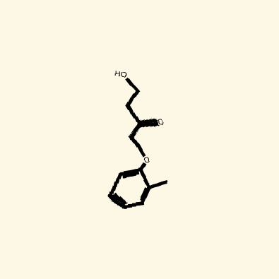 Cc1ccccc1OCC(=O)CCO